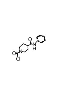 O=C(Nc1ccccc1)C1CCN(C(=O)Cl)CC1